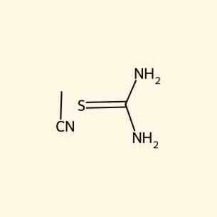 CC#N.NC(N)=S